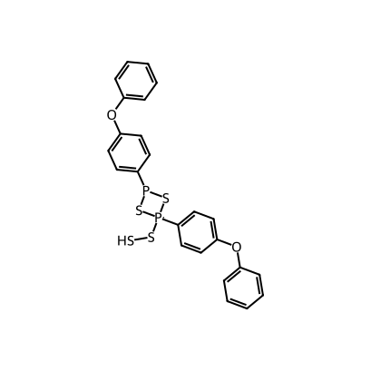 SS[P]1(c2ccc(Oc3ccccc3)cc2)SP(c2ccc(Oc3ccccc3)cc2)S1